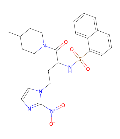 CC1CCN(C(=O)C(CCn2ccnc2[N+](=O)[O-])NS(=O)(=O)c2cccc3ccccc23)CC1